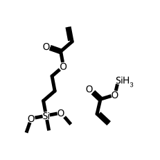 C=CC(=O)OCCC[Si](C)(OC)OC.C=CC(=O)O[SiH3]